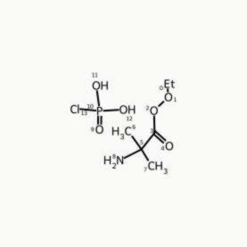 CCOOC(=O)C(C)(C)N.O=P(O)(O)Cl